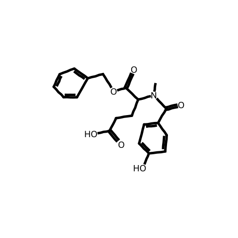 CN(C(=O)c1ccc(O)cc1)C(CCC(=O)O)C(=O)OCc1ccccc1